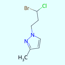 Cc1ccn(CCC(Cl)Br)n1